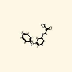 O=C(Cl)CCc1cccc(Oc2ccccc2)c1